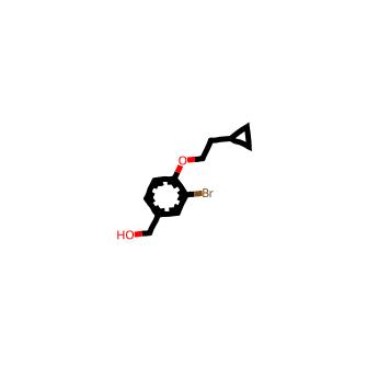 OCc1ccc(OCCC2CC2)c(Br)c1